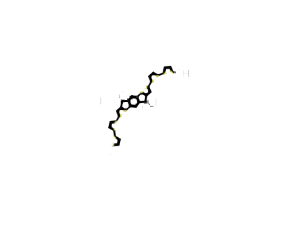 Cc1ccc(-c2ccc(-c3cc4c(s3)-c3cc5c(cc3C4(C)C)-c3sc(-c4ccc(-c6ccc(C)s6)s4)cc3C5(C)C)s2)s1